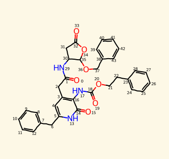 O=C(Cc1cc(Cc2ccccc2)[nH]c(=O)c1NC(=O)OCCc1ccccc1)NC1CC(=O)OC1OCc1ccccc1